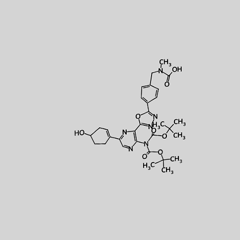 CN(Cc1ccc(-c2nnc(-c3nc(C4=CCC(O)CC4)cnc3N(C(=O)OC(C)(C)C)C(=O)OC(C)(C)C)o2)cc1)C(=O)O